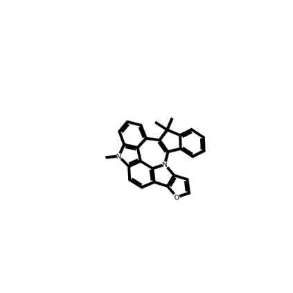 Cn1c2cccc3c4c(n5c6ccoc6c6ccc1c(c32)c65)-c1ccccc1C4(C)C